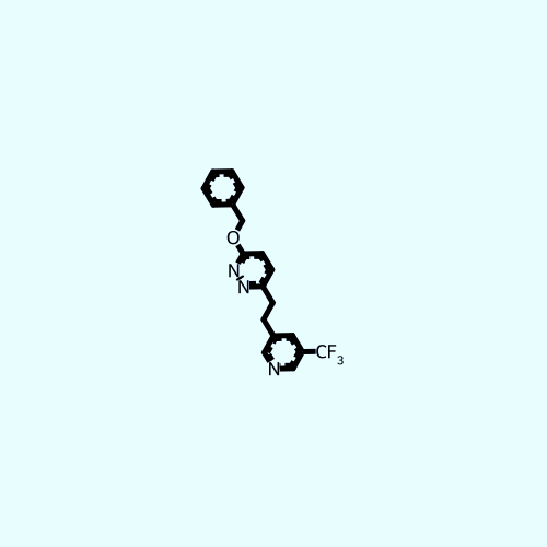 FC(F)(F)c1cncc(CCc2ccc(OCc3ccccc3)nn2)c1